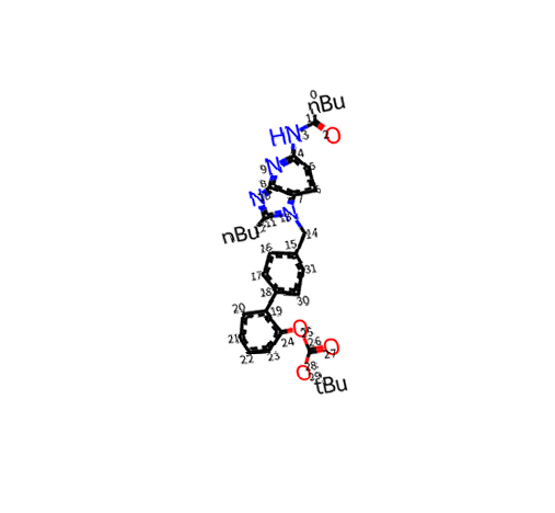 CCCCC(=O)Nc1ccc2c(n1)nc(CCCC)n2Cc1ccc(-c2ccccc2OC(=O)OC(C)(C)C)cc1